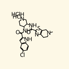 CN1CCc2nc(C(=O)NC3CNCCC3NC(=O)c3cc4cc(Cl)ccc4[nH]3)sc2C1.Cl.Cl